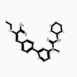 CCO/C(=C/c1ccc(-c2cccc(N(C)C(=O)NC3CCCCC3)c2)cc1)C(=O)O